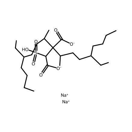 CCCCC(CC)CCC(C)C(C(=O)[O-])(C(C)CCC(CC)CCCC)C(C(=O)[O-])S(=O)(=O)O.[Na+].[Na+]